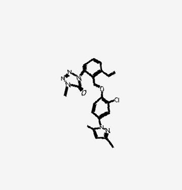 CCc1cccc(-n2nnn(C)c2=O)c1COc1ccc(-n2nc(C)cc2C)cc1Cl